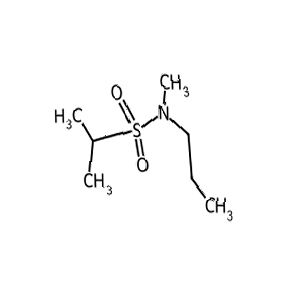 CCCN(C)S(=O)(=O)C(C)C